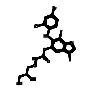 Cn1cnc2c(F)c(Nc3ccc(Br)cc3Cl)c(OC(=O)NOCC(O)CO)cc21